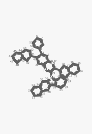 c1ccc(-c2cc3nc(-c4ccc5ccccc5c4)c(-n4c5ccccc5c5cc6ccccc6cc54)nc3cc2-c2ccc3ccccc3c2)cc1